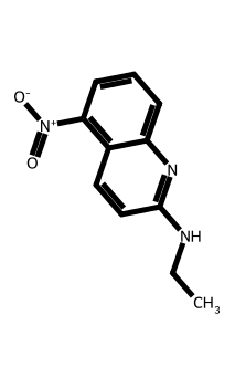 CCNc1ccc2c([N+](=O)[O-])cccc2n1